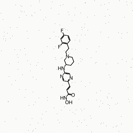 O=C(/C=C/c1cnc(N[C@@H]2CCCN(CCc3ccc(F)cc3F)C2)cn1)NO